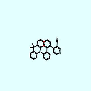 CC1(C)c2ccccc2N(c2ccccc2-c2ccccc2-c2ccncc2C#N)c2ccccc21